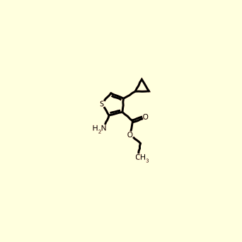 CCOC(=O)c1c(C2CC2)csc1N